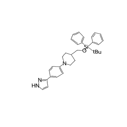 CC(C)(C)[Si](OCC1CCN(c2ccc(-c3cc[nH]n3)cc2)CC1)(c1ccccc1)c1ccccc1